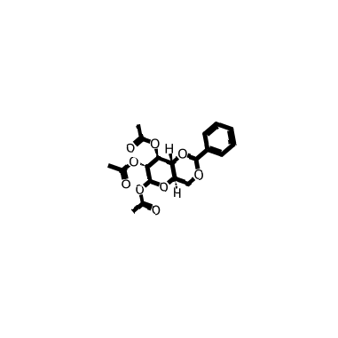 CC(=O)OC1O[C@@H]2COC(c3ccccc3)O[C@H]2[C@H](OC(C)=O)[C@H]1OC(C)=O